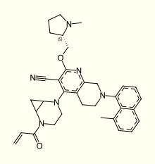 C=CC(=O)N1CCN(c2c(C#N)c(OC[C@@H]3CCCN3C)nc3c2CCN(c2cccc4cccc(C)c24)C3)C2CC21